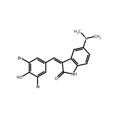 CN(C)c1ccc2c(c1)C(=Cc1cc(Br)c(O)c(Br)c1)C(=O)N2